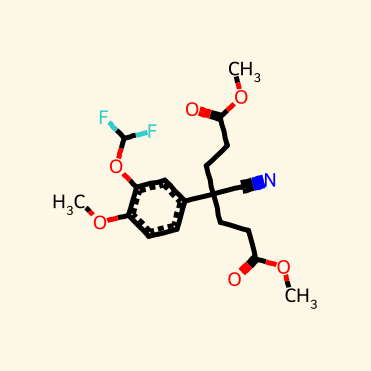 COC(=O)CCC(C#N)(CCC(=O)OC)c1ccc(OC)c(OC(F)F)c1